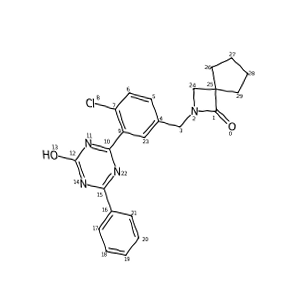 O=C1N(Cc2ccc(Cl)c(-c3nc(O)nc(-c4ccccc4)n3)c2)CC12CCCC2